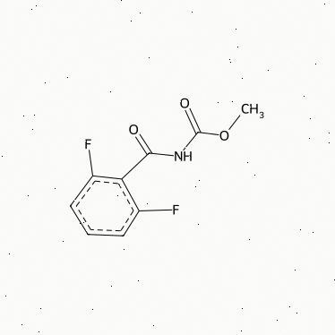 COC(=O)NC(=O)c1c(F)cccc1F